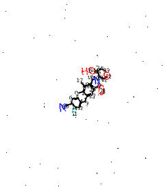 Cc1c(Cc2ccc(C#N)c(F)c2)cc2c(c1C)CN([C@H]1COCC[C@@H]1O)C2=O